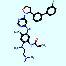 C=CC(=O)Nc1cc(Nc2cc(N3OCCC3c3cccc(-c4cccc(F)c4)c3)ncn2)c(OC)cc1N(C)CCN(C)C